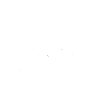 N#Cc1cc2c(Br)c(CN3CCC(Nc4ncnc5sc(CC(F)(F)F)cc45)CC3)ccc2[nH]1